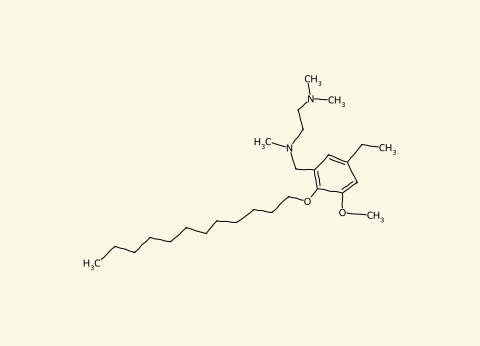 CCCCCCCCCCCCOc1c(CN(C)CCN(C)C)cc(CC)cc1OC